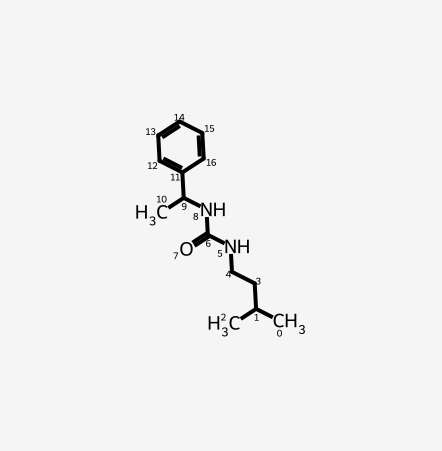 CC(C)CCNC(=O)NC(C)c1ccccc1